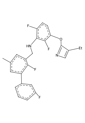 CCC1=CN=C1Oc1ccc(F)c(NCc2cc(C)cc(-c3cccc(F)c3)c2F)c1F